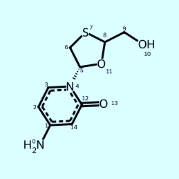 Nc1ccn([C@@H]2CSC(CO)O2)c(=O)c1